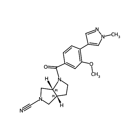 COc1cc(C(=O)N2CC[C@@H]3CN(C#N)C[C@@H]32)ccc1-c1cnn(C)c1